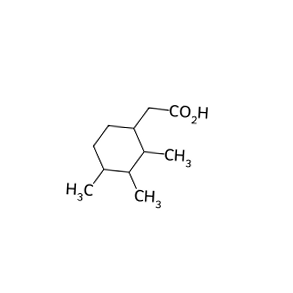 CC1CCC(CC(=O)O)C(C)C1C